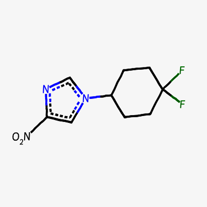 O=[N+]([O-])c1cn(C2CCC(F)(F)CC2)cn1